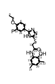 CCOc1ccc(-c2nnc(SCC(=O)Nc3cc(C)cc(C)c3O)[nH]2)cc1F